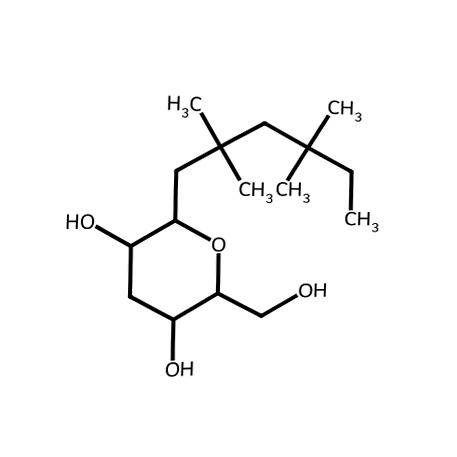 CCC(C)(C)CC(C)(C)CC1OC(CO)C(O)CC1O